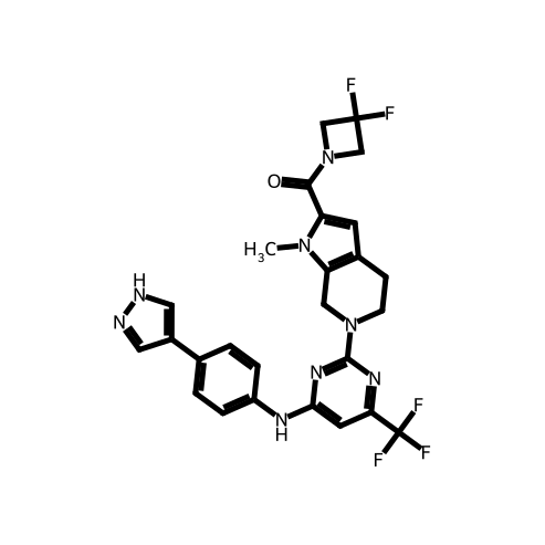 Cn1c(C(=O)N2CC(F)(F)C2)cc2c1CN(c1nc(Nc3ccc(-c4cn[nH]c4)cc3)cc(C(F)(F)F)n1)CC2